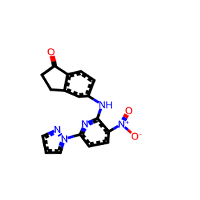 O=C1CCc2cc(Nc3nc(-n4cccn4)ccc3[N+](=O)[O-])ccc21